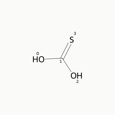 OC(O)=S